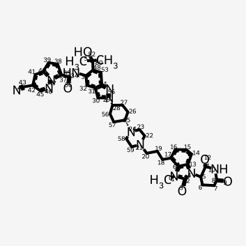 Cn1c(=O)n(C2CCC(=O)NC2=O)c2cccc(CCCN3CCN([C@H]4CC[C@H](n5cc6cc(NC(=O)c7ccc8cc(C#N)cnn78)c(C(C)(C)O)cc6n5)CC4)CC3)c21